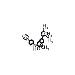 CC/C=C\C(=C(/C)CC)c1ccc2c(c1)cc(Nc1ccc(N3CCOCC3)cc1)c(=O)n2C